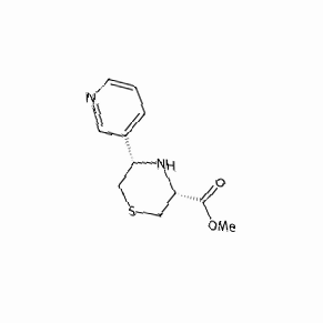 COC(=O)[C@@H]1CSC[C@H](c2cccnc2)N1